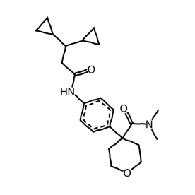 CN(C)C(=O)C1(c2ccc(NC(=O)CC(C3CC3)C3CC3)cc2)CCOCC1